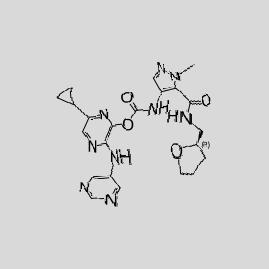 Cn1ncc(NC(=O)Oc2nc(C3CC3)cnc2Nc2cncnc2)c1C(=O)NC[C@H]1CCCO1